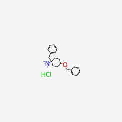 CN(C)C1(Cc2ccccc2)CCC(OCc2ccccc2)CC1.Cl